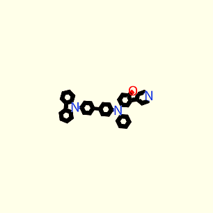 c1ccc(N(c2ccc(-c3ccc(-n4c5ccccc5c5ccccc54)cc3)cc2)c2ccc3oc4cnccc4c3c2)cc1